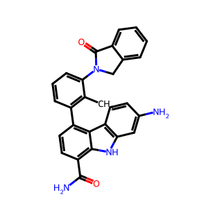 Cc1c(-c2ccc(C(N)=O)c3[nH]c4cc(N)ccc4c23)cccc1N1Cc2ccccc2C1=O